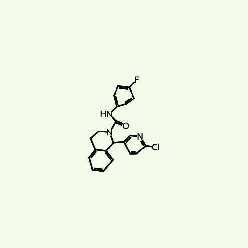 O=C(Nc1ccc(F)cc1)N1CCc2ccccc2C1c1ccc(Cl)nc1